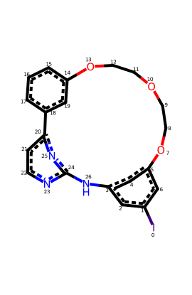 Ic1cc2cc(c1)OCCOCCOc1cccc(c1)-c1ccnc(n1)N2